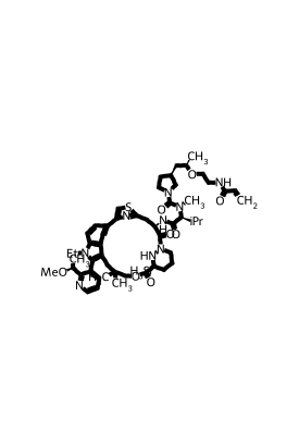 C=CC(=O)NCCO[C@@H](C)C[C@@H]1CCN(C(=O)N(C)[C@H](C(=O)N[C@H]2Cc3nc(cs3)-c3ccc4c(c3)c(c(-c3cccnc3[C@H](C)OC)n4CC)CC(C)(C)COC(=O)[C@@]3([SiH3])CCCN(N3)C2=O)C(C)C)C1